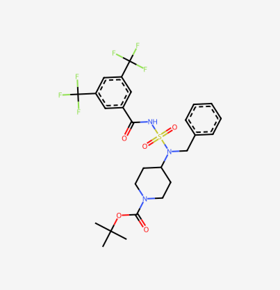 CC(C)(C)OC(=O)N1CCC(N(Cc2ccccc2)S(=O)(=O)NC(=O)c2cc(C(F)(F)F)cc(C(F)(F)F)c2)CC1